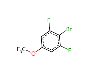 Fc1cc(OC(F)(F)F)cc(F)c1Br